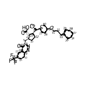 O=C(O)[C@H]1[C@H](Cn2nnc3ccc(C(F)(F)F)cc3c2=O)CC[C@@H]1C(=O)c1ccc(OCCCc2ccccc2)cc1